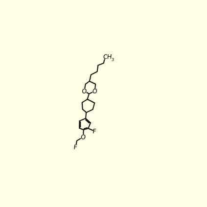 CCCCCC1COC(C2CCC(c3ccc(OCF)c(F)c3)CC2)OC1